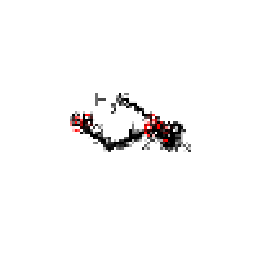 CCCCCCCCOCC(COCCCCCCCC/C=C\CCCCCCC(=O)OC)O[Si](c1ccccc1)(c1ccccc1)C(C)(C)C